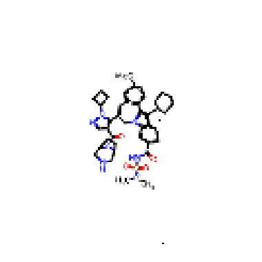 COc1ccc2c(c1)C=C(c1c(C(=O)N3C4CCC3CNC4)cnn1C1CCC1)Cn1c-2c(C2CCCCC2)c2ccc(C(=O)NS(=O)(=O)N(C)C)cc21